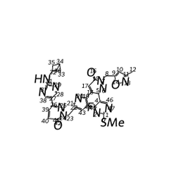 CSc1ncc(-c2nn(Cc3cc(C)no3)c(=O)cc2-c2ncc(Cn3nc(-c4cnc(NC56CC(C5)C6)nc4)ccc3=O)cc2F)cn1